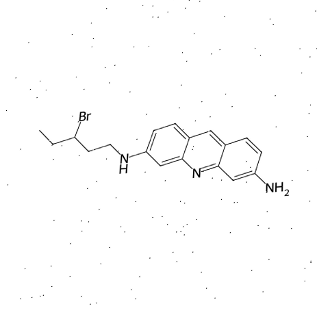 CCC(Br)CCNc1ccc2cc3ccc(N)cc3nc2c1